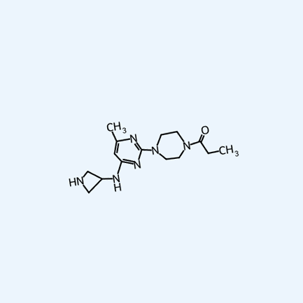 CCC(=O)N1CCN(c2nc(C)cc(NC3CNC3)n2)CC1